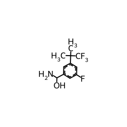 CC(C)(c1cc(F)cc(C(N)O)c1)C(F)(F)F